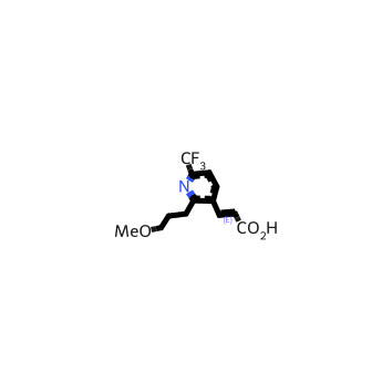 COCCCc1nc(C(F)(F)F)ccc1/C=C/C(=O)O